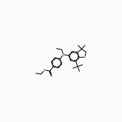 CCOC(=O)c1ccc(N(CC)c2cc(C(C)(C)C)c3c(c2)C(C)(C)CO3)cc1